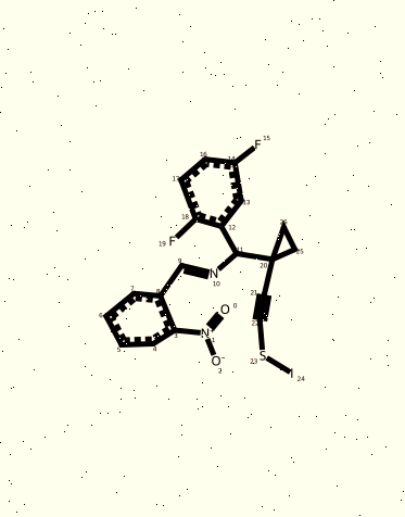 O=[N+]([O-])c1ccccc1/C=N/C(c1cc(F)ccc1F)C1(C#CSI)CC1